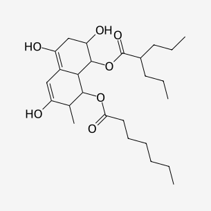 CCCCCCC(=O)OC1C(C)C(O)=CC2=C(O)CC(O)C(OC(=O)C(CCC)CCC)C21